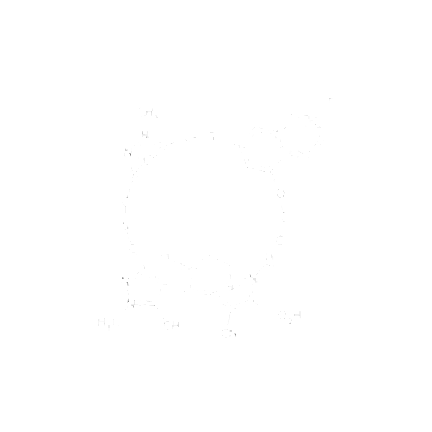 Cc1c2c(nn1C)CSCc1cc(n(C)n1)CSc1cc(c3ccc(F)cc3c1)OCCCn1c(C(=O)O)c(C#N)c3c-2c(Cl)ccc31